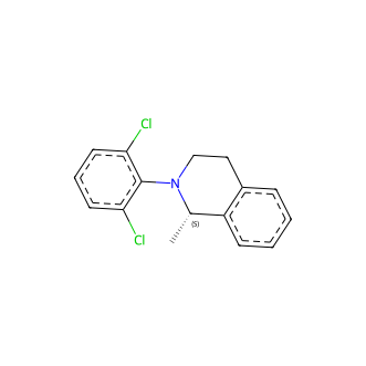 C[C@H]1c2ccccc2CCN1c1c(Cl)cccc1Cl